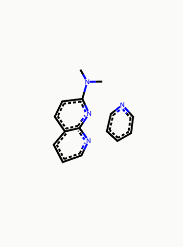 CN(C)c1ccc2cccnc2n1.c1ccncc1